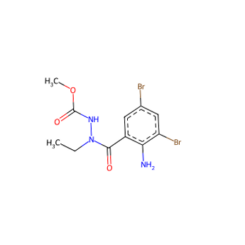 CCN(NC(=O)OC)C(=O)c1cc(Br)cc(Br)c1N